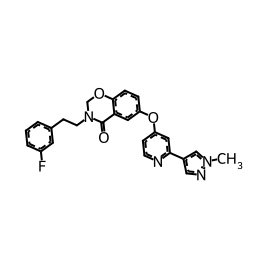 Cn1cc(-c2cc(Oc3ccc4c(c3)C(=O)N(CCc3cccc(F)c3)CO4)ccn2)cn1